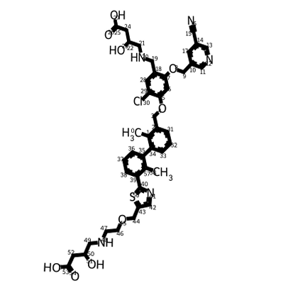 Cc1c(COc2cc(OCc3cncc(C#N)c3)c(CNCC(O)CC(=O)O)cc2Cl)cccc1-c1cccc(-c2ncc(COCCNCC(O)CC(=O)O)s2)c1C